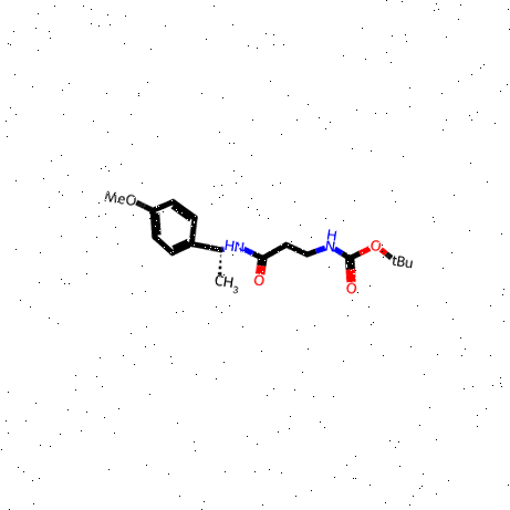 COc1ccc([C@@H](C)NC(=O)CCNC(=O)OC(C)(C)C)cc1